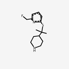 CC(C)(Sc1cccc(CF)n1)C1CCNCC1